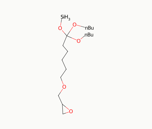 CCCCOC(CCCCCOCC1CO1)(O[SiH3])OCCCC